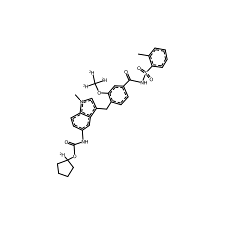 [2H]C([2H])([2H])Oc1cc(C(=O)NS(=O)(=O)c2ccccc2C)ccc1Cc1cn(C)c2ccc(NC(=O)OC3([2H])CCCC3)cc12